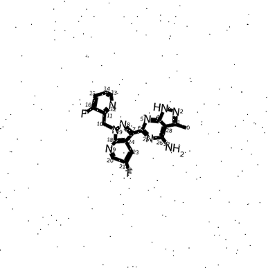 Cc1n[nH]c2nc(-c3nn(Cc4ncccc4F)c4ncc(F)cc34)nc(N)c12